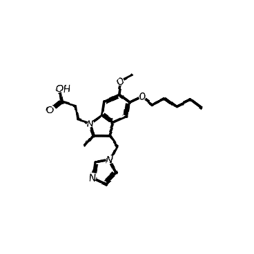 CCCCCOc1cc2c(cc1OC)N(CCC(=O)O)C(C)C2Cn1ccnc1